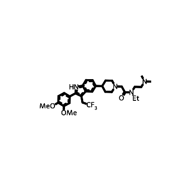 CCN(CCN(C)C)C(=O)CN1CCC(c2ccc3[nH]c(-c4ccc(OC)c(OC)c4)c(CC(F)(F)F)c3c2)CC1